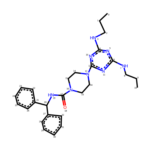 CCCNc1nc(NCCC)nc(N2CCN(C(=O)NC(c3ccccc3)c3ccccc3)CC2)n1